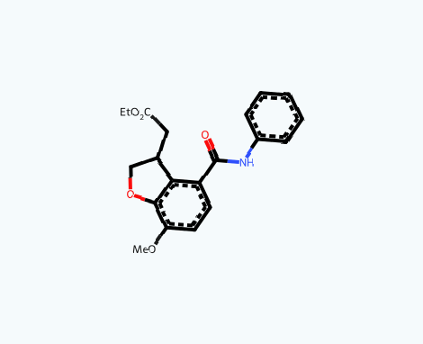 CCOC(=O)CC1COc2c(OC)ccc(C(=O)Nc3ccccc3)c21